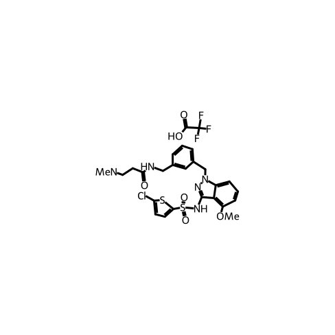 CNCCC(=O)NCc1cccc(Cn2nc(NS(=O)(=O)c3ccc(Cl)s3)c3c(OC)cccc32)c1.O=C(O)C(F)(F)F